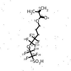 C=C(C)C(=O)OCCCC(F)(F)C(F)(F)OC(F)(F)C(F)(F)S(=O)(=O)O